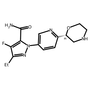 CCc1nn(-c2ccc([C@H]3CNCCO3)nc2)c(C(N)=O)c1F